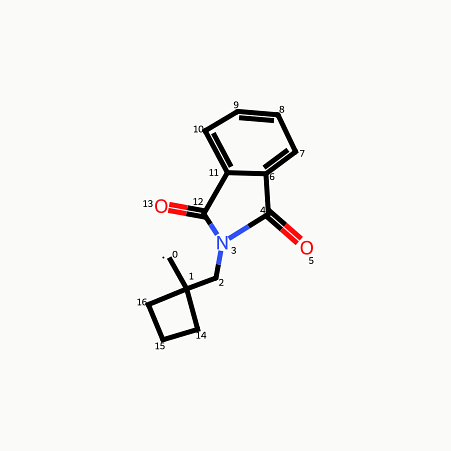 [CH2]C1(CN2C(=O)c3ccccc3C2=O)CCC1